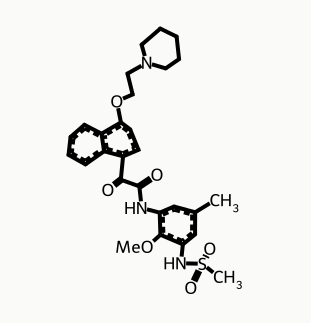 COc1c(NC(=O)C(=O)c2ccc(OCCN3CCCCC3)c3ccccc23)cc(C)cc1NS(C)(=O)=O